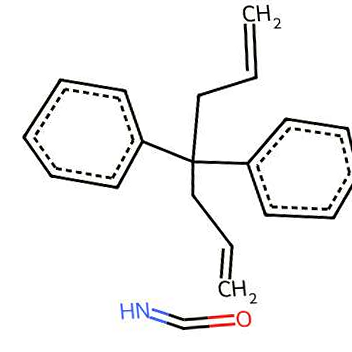 C=CCC(CC=C)(c1ccccc1)c1ccccc1.N=C=O